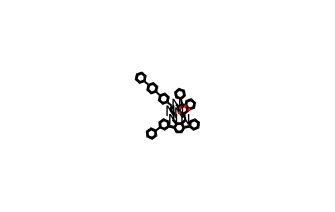 c1ccc(-c2ccc(-c3ccc(-c4nc(-c5ccccc5)nc(-n5c6ccc(-c7ccccc7)cc6c6ccc7c8ccccc8n(-c8ccc(-c9ccccc9)cc8)c7c65)n4)cc3)cc2)cc1